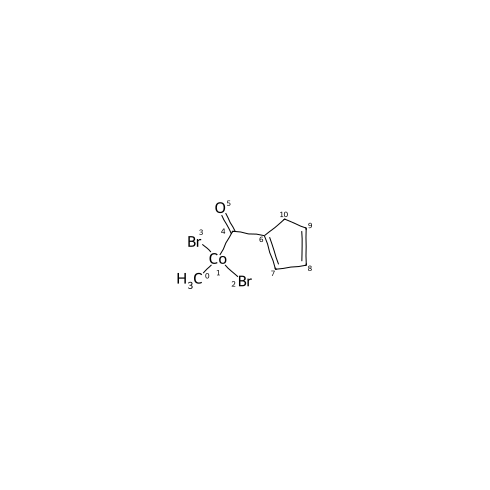 [CH3][Co]([Br])([Br])[C](=O)C1=CC=CC1